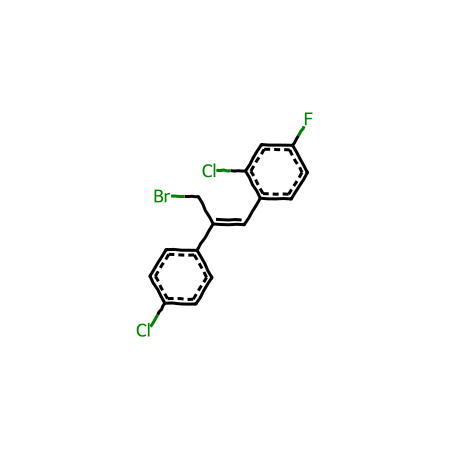 Fc1ccc(/C=C(\CBr)c2ccc(Cl)cc2)c(Cl)c1